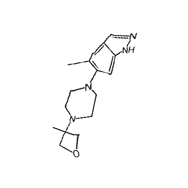 Cc1cc2cn[nH]c2cc1N1CCN(C2(C)COC2)CC1